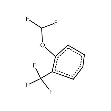 FC(F)Oc1cc[c]cc1C(F)(F)F